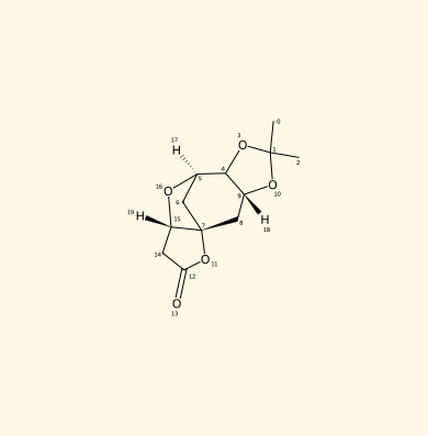 CC1(C)OC2[C@H]3C[C@]4(C[C@H]2O1)OC(=O)C[C@@H]4O3